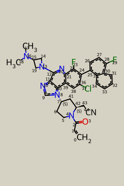 C=CC(=O)N1CC[C@H](n2cnc3c(N4CC(N(C)C)C4)nc4c(F)c(-c5ccc(F)c6ccccc56)c(Cl)cc4c32)C[C@H]1CC#N